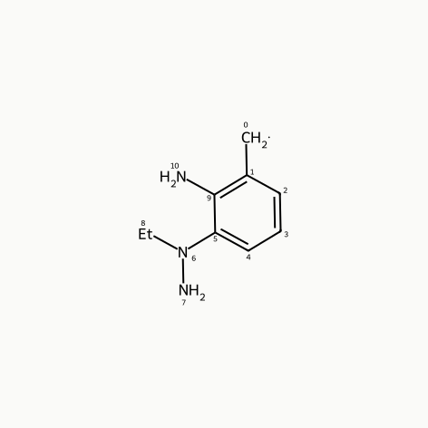 [CH2]c1cccc(N(N)CC)c1N